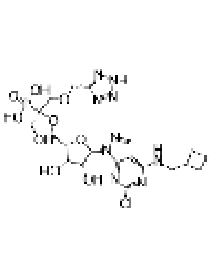 O=P(O)(O)[C@@](CO)(COCc1nn[nH]n1)OC[C@H]1O[C@@H](n2ncc3c(NCC4CCC4)nc(Cl)nc32)[C@H](O)[C@@H]1O